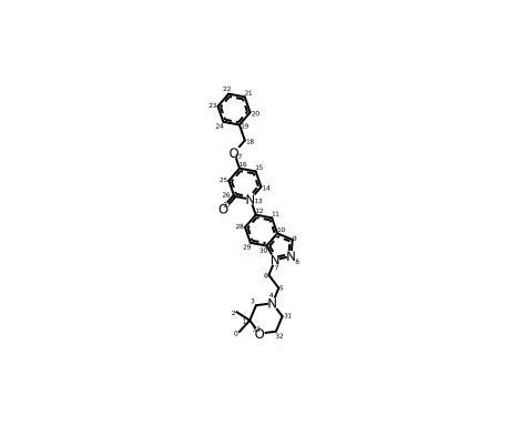 CC1(C)CN(CCn2ncc3cc(-n4ccc(OCc5ccccc5)cc4=O)ccc32)CCO1